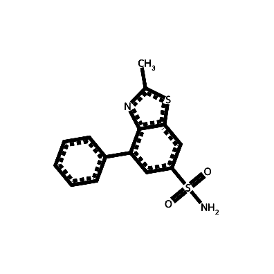 Cc1nc2c(-c3ccccc3)cc(S(N)(=O)=O)cc2s1